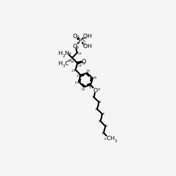 CCCCCCCCOc1ccc(CC(=O)[C@@](C)(N)COP(=O)(O)O)cc1